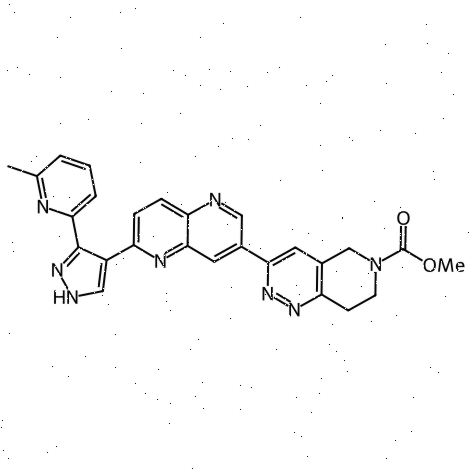 COC(=O)N1CCc2nnc(-c3cnc4ccc(-c5c[nH]nc5-c5cccc(C)n5)nc4c3)cc2C1